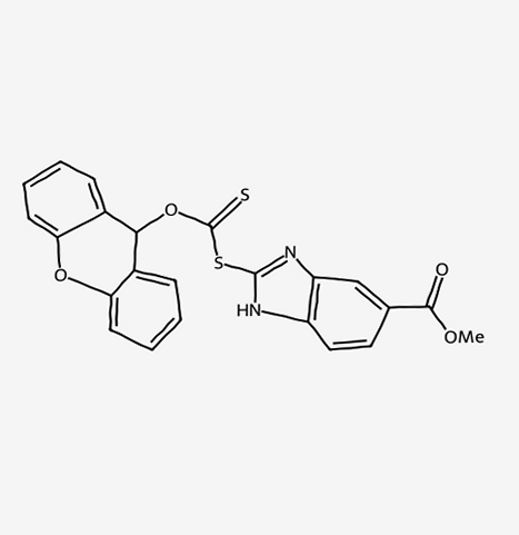 COC(=O)c1ccc2[nH]c(SC(=S)OC3c4ccccc4Oc4ccccc43)nc2c1